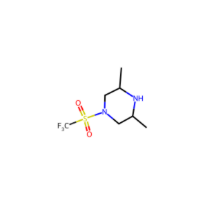 CC1CN(S(=O)(=O)C(F)(F)F)CC(C)N1